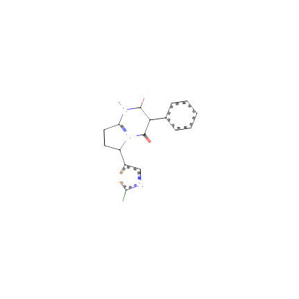 CN1C2=[N+](C(=O)C(c3ccccc3)C1[O-])C(c1cnc(Cl)s1)CC2